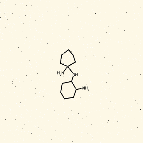 NC1CCCCC1NC1(N)CCCCC1